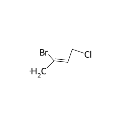 [CH2]C(Br)=CCCl